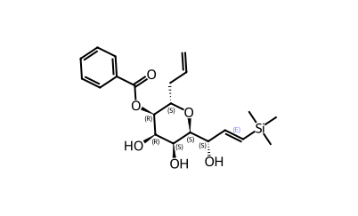 C=CC[C@@H]1O[C@@H]([C@@H](O)/C=C/[Si](C)(C)C)[C@@H](O)[C@@H](O)[C@H]1OC(=O)c1ccccc1